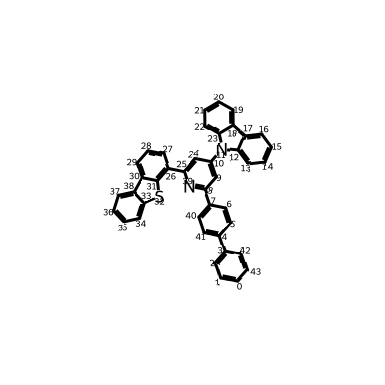 c1ccc(-c2ccc(-c3cc(-n4c5ccccc5c5ccccc54)cc(-c4cccc5c4sc4ccccc45)n3)cc2)cc1